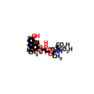 C[C@H](OC(=O)C[C@H](O)C(=O)OC1=CC[C@@]2(O)[C@H]3Cc4ccc(O)c5c4[C@@]2(CCN3C)[C@H]1O5)C(=O)N[C@@H](CC(=O)O)C(=O)O